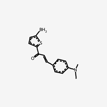 Bc1ccc(C(=O)/C=C/c2ccc(N(C)C)cc2)s1